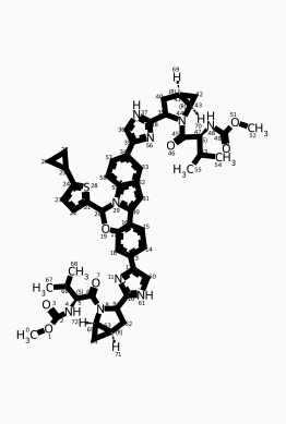 COC(=O)N[C@H](C(=O)N1C(c2nc(-c3ccc4c(c3)OC(c3ccc(C5CC5)s3)n3c-4cc4cc(-c5c[nH]c(C6C[C@H]7C[C@H]7N6C(=O)[C@@H](NC(=O)OC)C(C)C)n5)ccc43)c[nH]2)C[C@H]2C[C@H]21)C(C)C